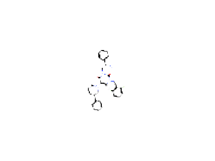 Cc1c(N2CCCC(c3ccccc3)C2)c(=O)n(C[C@@H](N)c2ccccc2)c(=O)n1Cc1c(F)cccc1F